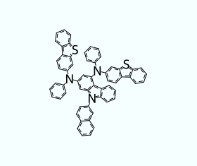 c1ccc(N(c2ccc3c(c2)sc2ccccc23)c2cc(N(c3ccccc3)c3ccc4c(c3)sc3ccccc34)c3c4ccccc4n(-c4ccc5ccccc5c4)c3c2)cc1